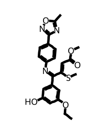 CCOc1cc(O)cc(C(=Nc2ccc(-c3noc(C)n3)cc2)C(=CC(=O)OC)SC)c1